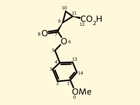 COc1ccc(COC(=O)[C@H]2C[C@H]2C(=O)O)cc1